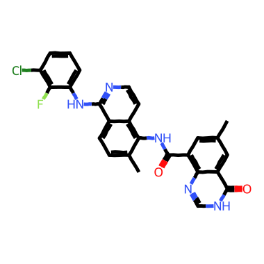 Cc1cc(C(=O)Nc2c(C)ccc3c(Nc4cccc(Cl)c4F)nccc23)c2nc[nH]c(=O)c2c1